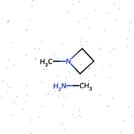 CN.CN1CCC1